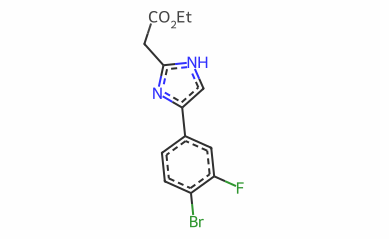 CCOC(=O)Cc1nc(-c2ccc(Br)c(F)c2)c[nH]1